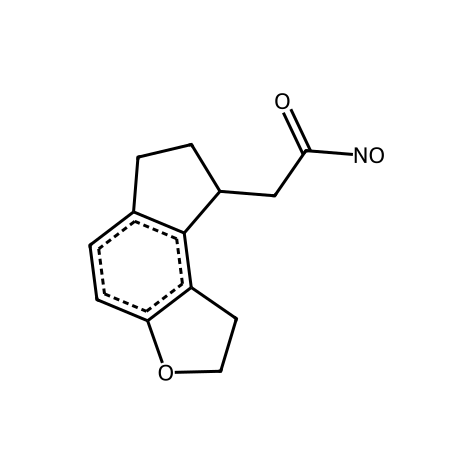 O=NC(=O)CC1CCc2ccc3c(c21)CCO3